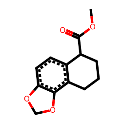 COC(=O)C1CCCc2c1ccc1c2OCO1